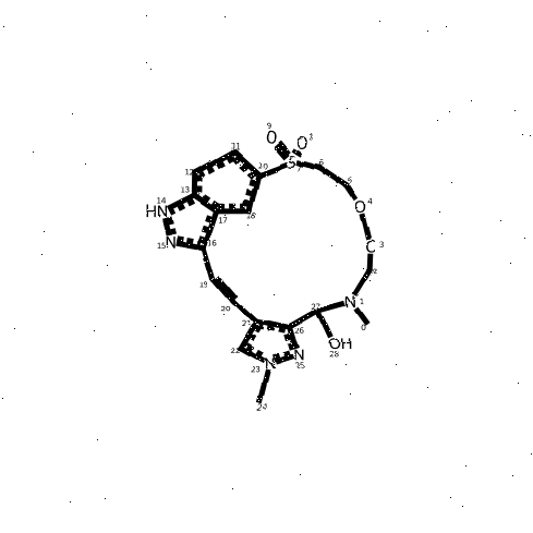 CN1CCOCCS(=O)(=O)c2ccc3[nH]nc(c3c2)/C=C/c2cn(C)nc2C1O